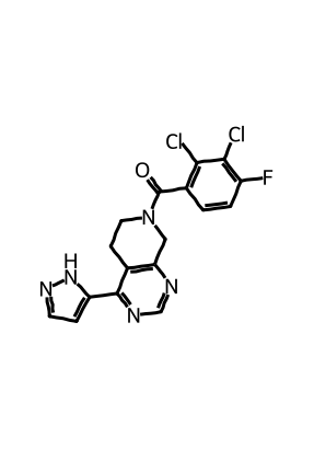 O=C(c1ccc(F)c(Cl)c1Cl)N1CCc2c(ncnc2-c2ccn[nH]2)C1